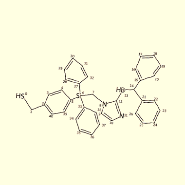 SCc1ccc([Si](Cn2ccnc2BC(c2ccccc2)c2ccccc2)(c2ccccc2)c2ccccc2)cc1